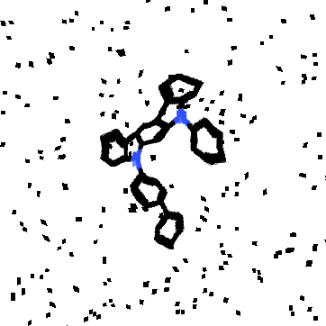 C1=c2c(n(-c3ccccc3)c3ccccc23)=CC2C1c1ccccc1N2c1ccc(-c2ccccc2)cc1